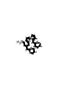 CCCC(Cc1ccco1)CC1SCCCS1.c1coc(CC2CCCSS2)c1